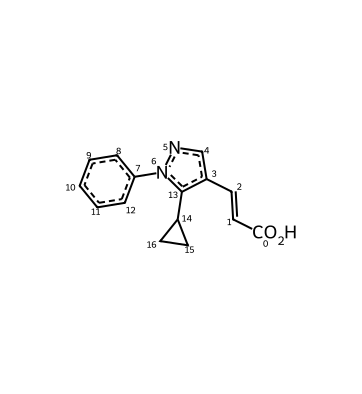 O=C(O)C=Cc1cnn(-c2ccccc2)c1C1CC1